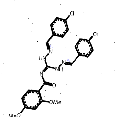 COc1ccc(C(=O)N=C(N/N=C/c2ccc(Cl)cc2)N/N=C/c2ccc(Cl)cc2)c(OC)c1